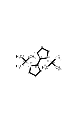 CC(C)(C)[P@@]1CCC[C@@H]1[C@H]1CCC[P@]1C(C)(C)C